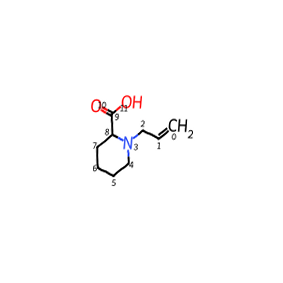 C=CCN1CCCCC1C(=O)O